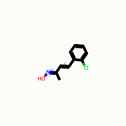 CC(/C=C/c1ccccc1Cl)=N\O